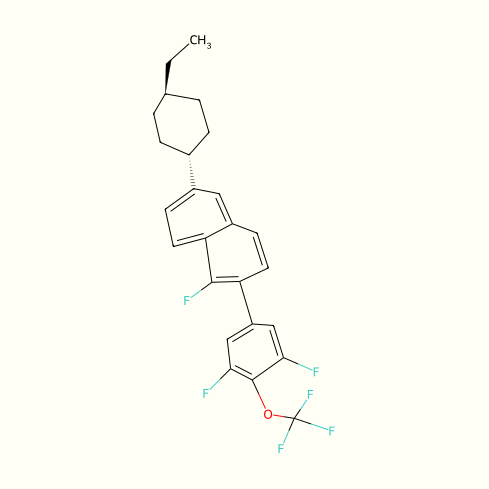 CC[C@H]1CC[C@H](c2ccc3c(F)c(-c4cc(F)c(OC(F)(F)F)c(F)c4)ccc3c2)CC1